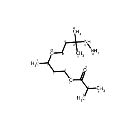 CC(CCOC(=O)C(C)C)OCCC(C)(C)NN